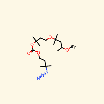 CC(C)OC(C)CC(C)(C)OCCC(C)(C)OC(=O)OCCC(C)(C)N=[N+]=[N-]